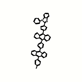 Cc1ccc(-c2c3ccccc3c(-c3ccc(-c4c5ccccc5c(-c5ccc(-c6nc7ccccc7n6-c6ccccc6)cc5)c5ccccc45)cc3)c3ccccc23)cc1